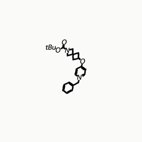 CC(C)(C)OC(=O)N1CC2(CC(Oc3cc[n+](Cc4ccccc4)cc3)C2)C1